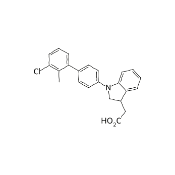 Cc1c(Cl)cccc1-c1ccc(N2CC(CC(=O)O)c3ccccc32)cc1